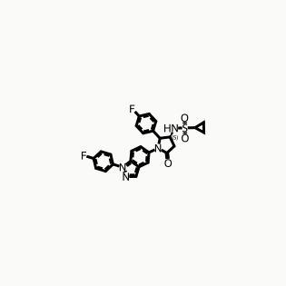 O=C1C[C@H](NS(=O)(=O)C2CC2)C(c2ccc(F)cc2)N1c1ccc2c(cnn2-c2ccc(F)cc2)c1